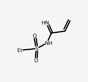 C=CC(=N)NS(=O)(=O)CC